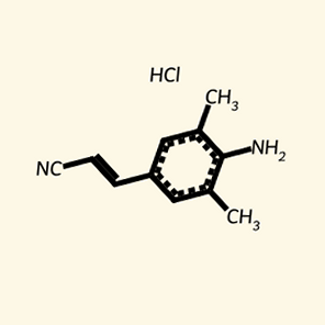 Cc1cc(/C=C/C#N)cc(C)c1N.Cl